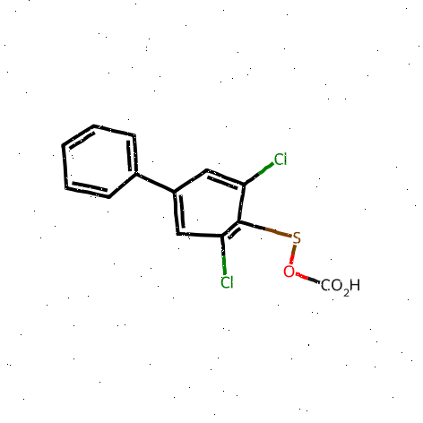 O=C(O)OSc1c(Cl)cc(-c2ccccc2)cc1Cl